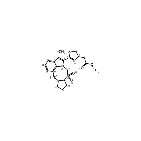 C.COC(=O)CC1CSC(c2cc3cccc4c3n2CS(=O)(=O)C2CCCC2N4)=N1